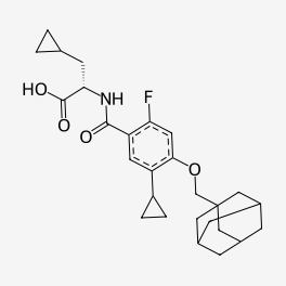 O=C(N[C@@H](CC1CC1)C(=O)O)c1cc(C2CC2)c(OCC23CC4CC(CC(C4)C2)C3)cc1F